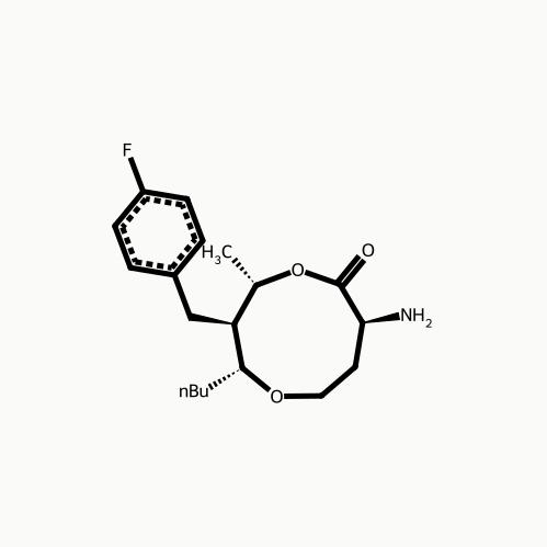 CCCC[C@H]1OCC[C@H](N)C(=O)O[C@@H](C)[C@@H]1Cc1ccc(F)cc1